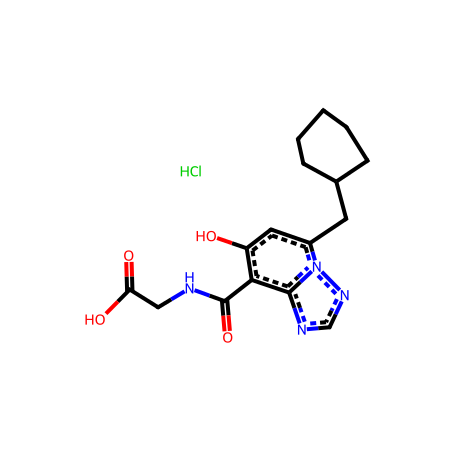 Cl.O=C(O)CNC(=O)c1c(O)cc(CC2CCCCC2)n2ncnc12